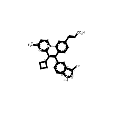 O=C(O)C=Cc1ccc(C(=C(c2nccc(C(F)(F)F)n2)C2CCC2)c2ccc3[nH]nc(F)c3c2)cc1